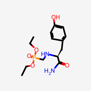 CCOP(=O)(CN[C@@H](Cc1ccc(O)cc1)C(N)=O)OCC